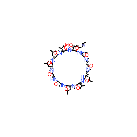 C/C=C/C[C@@H](C)[C@@H](O)C1C(=O)N[C@@H](CC)C(=O)N(C)CC(=O)N(C)C[C@@H](CC(C)C)C(=O)N[C@@H](C(C)C)C(=O)N(C)[C@@H](CC(C)C)C(=O)N[C@@H](C)C(=O)N[C@H](C)C(=O)N(C)[C@@H](CC(C)C)C(=O)N(C)[C@@H](CC(C)C)C(=O)N(C)[C@@H](C(C)C)C(=O)N1C